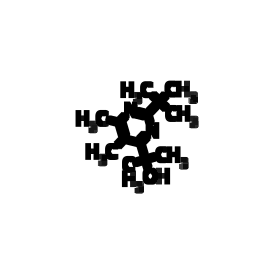 Cc1nc(C(C)(C)C)nc(C(C)(C)O)c1C